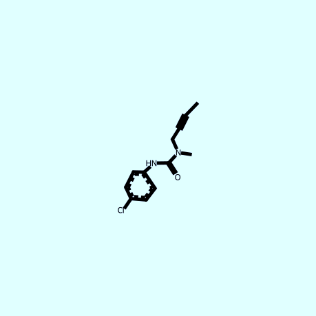 CC#CCN(C)C(=O)Nc1ccc(Cl)cc1